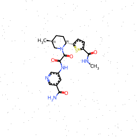 CNC(=O)c1ccc([C@H]2CC[C@H](C)CN2C(=O)C(=O)Nc2cncc(C(N)=O)c2)s1